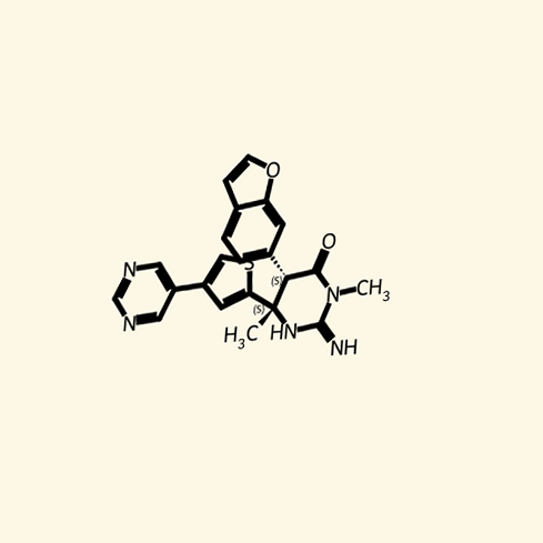 CN1C(=N)N[C@](C)(c2cc(-c3cncnc3)cs2)[C@H](c2ccc3ccoc3c2)C1=O